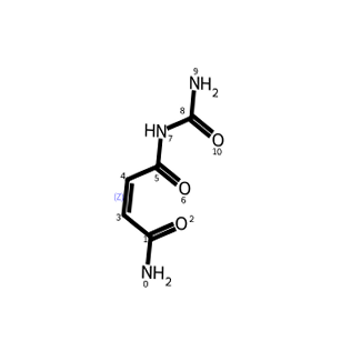 NC(=O)/C=C\C(=O)NC(N)=O